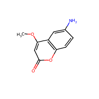 COc1cc(=O)oc2ccc(N)cc12